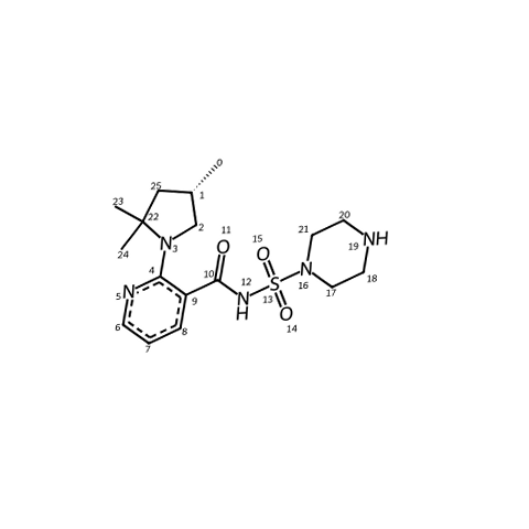 C[C@@H]1CN(c2ncccc2C(=O)NS(=O)(=O)N2CCNCC2)C(C)(C)C1